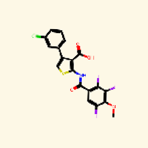 COc1c(I)cc(C(=O)Nc2scc(-c3cccc(Cl)c3)c2C(=O)O)c(I)c1I